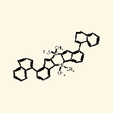 C[Si]1(C)C2=Cc3c(-c4cccc5ccccc45)cccc3[CH]2[Hf]([CH3])([CH3])[CH]2C1=Cc1c(-c3cccc4ccccc34)cccc12